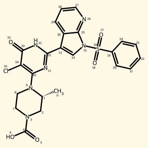 C[C@@H]1CN(C(=O)O)CCN1c1nc(-c2cn(S(=O)(=O)c3ccccc3)c3ncccc23)[nH]c(=O)c1Cl